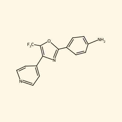 Nc1ccc(-c2nc(-c3ccncc3)c(C(F)(F)F)o2)cc1